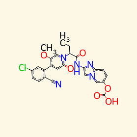 CCC(C(=O)Nc1cn2cc(OC(=O)O)ccc2n1)n1cc(OC)c(-c2cc(Cl)ccc2C#N)cc1=O